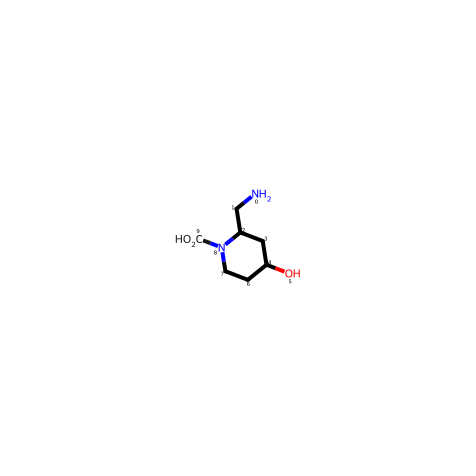 NCC1CC(O)CCN1C(=O)O